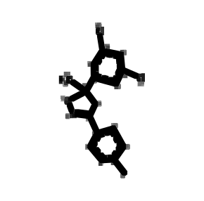 Cc1ccc(C2=NOC(c3cc(Cl)cc(Cl)c3)(C(F)(F)F)C2)cc1